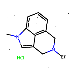 CCN1Cc2cccc3c2c(cn3C)C1.Cl